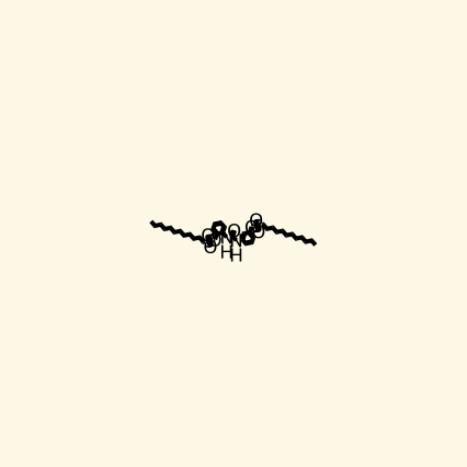 CCCCCCCCCCCCS(=O)(=O)Oc1cccc(NC(=O)Nc2ccccc2OS(=O)(=O)CCCCCCCCCCCC)c1